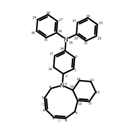 C1=CC(N2C/C=C\C=C/CC3=CCCCC32)CC=C1N(c1ccccc1)c1ccccc1